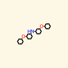 c1ccc(Oc2cccc(Nc3cccc(Oc4ccccc4)c3)c2)cc1